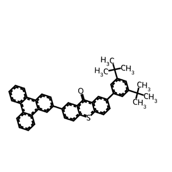 CC(C)(C)c1cc(-c2ccc3sc4ccc(-c5ccc6c7ccccc7c7ccccc7c6c5)cc4c(=O)c3c2)cc(C(C)(C)C)c1